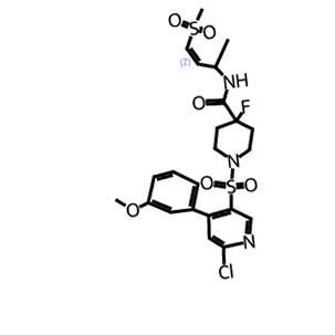 COc1cccc(-c2cc(Cl)ncc2S(=O)(=O)N2CCC(F)(C(=O)NC(C)/C=C\S(C)(=O)=O)CC2)c1